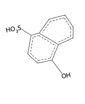 O=S(=O)(O)c1ccc(O)c2ccccc12